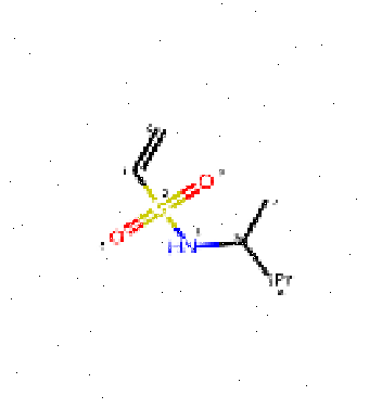 C=CS(=O)(=O)NC(C)C(C)C